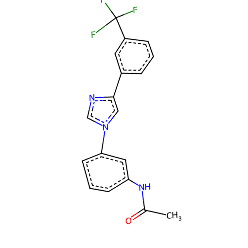 CC(=O)Nc1cccc(-n2cnc(-c3cccc(C(F)(F)F)c3)c2)c1